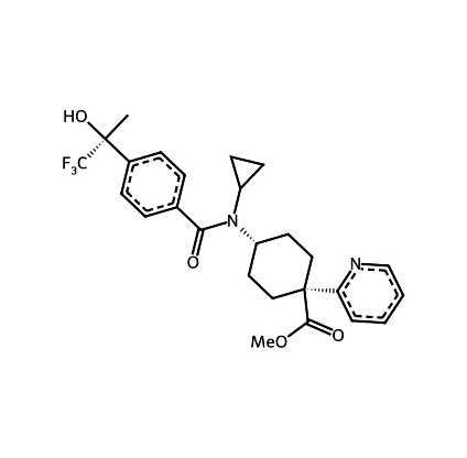 COC(=O)[C@]1(c2ccccn2)CC[C@@H](N(C(=O)c2ccc([C@](C)(O)C(F)(F)F)cc2)C2CC2)CC1